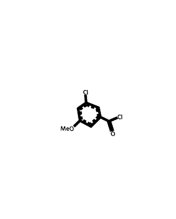 COc1cc(Cl)cc(C(=O)Cl)c1